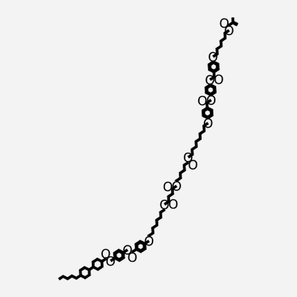 C=C(C)C(=O)OCCCCCCOc1ccc(C(=O)Oc2ccc(OC(=O)c3ccc(OCCCCCCCCOC(=O)CCCCCOC(=O)CCC(=O)OCCCCCCCCOc4ccc(C(=O)Oc5ccc(OC(=O)C6CCC(C7CCC(CCCCC)CC7)CC6)cc5)cc4)cc3)cc2)cc1